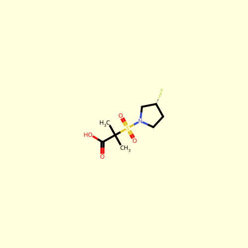 CC(C)(C(=O)O)S(=O)(=O)N1CC[C@@H](F)C1